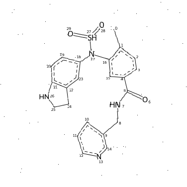 Cc1ccc(C(=O)NCc2cccnc2)cc1N(c1ccc2c(c1)CCN2)[SH](=O)=O